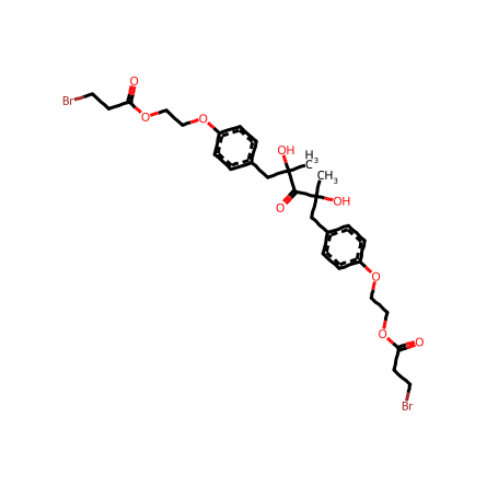 CC(O)(Cc1ccc(OCCOC(=O)CCBr)cc1)C(=O)C(C)(O)Cc1ccc(OCCOC(=O)CCBr)cc1